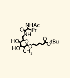 CC(=O)N[C@@H](C(=O)NCC1OC(OCCCCC(=O)OC(C)(C)C)C(C)C(O)C1O)C(C)C